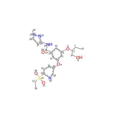 CCC(CO)Oc1cc(Oc2ccc(S(=O)(=O)CC)nc2)cc(C(=O)Nc2ccn(C)n2)c1